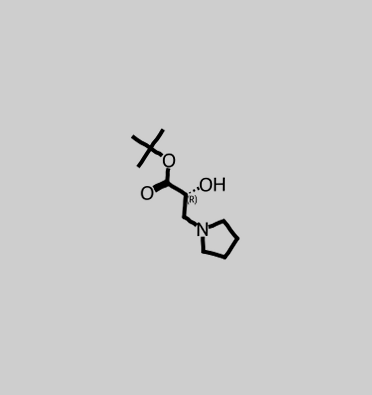 CC(C)(C)OC(=O)[C@H](O)CN1CCCC1